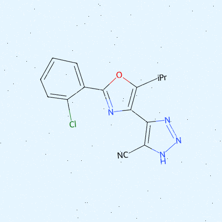 CC(C)c1oc(-c2ccccc2Cl)nc1-c1nn[nH]c1C#N